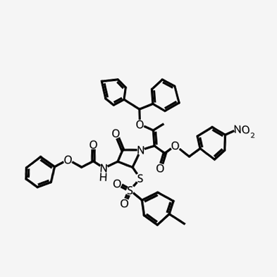 CC(OC(c1ccccc1)c1ccccc1)=C(C(=O)OCc1ccc([N+](=O)[O-])cc1)N1C(=O)C(NC(=O)COc2ccccc2)C1SS(=O)(=O)c1ccc(C)cc1